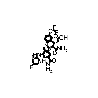 NC(=O)c1cc(NC2=NCC(F)CN2)c2cnn(C(C(N)=O)[C@@H](CC(=O)O)c3cc(OC(F)F)ccc3F)c2c1